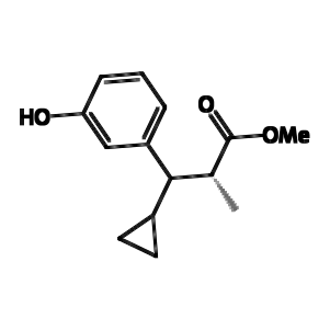 COC(=O)[C@H](C)C(c1cccc(O)c1)C1CC1